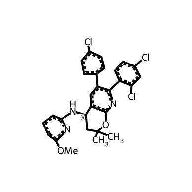 COc1cccc(N[C@@H]2CC(C)(C)Oc3nc(-c4ccc(Cl)cc4Cl)c(-c4ccc(Cl)cc4)cc32)n1